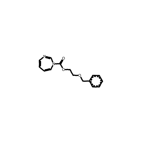 O=C(OCCOCc1ccccc1)N1C=CC=CN=C1